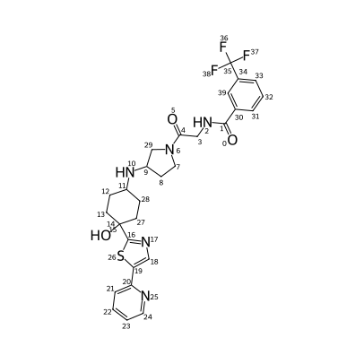 O=C(NCC(=O)N1CCC(NC2CCC(O)(c3ncc(-c4ccccn4)s3)CC2)C1)c1cccc(C(F)(F)F)c1